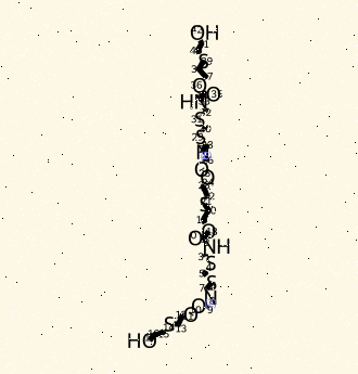 O=C(NCSCSC/N=C\OOCCSCCO)OCCSCCOO/C=N/CSCSCNC(=O)OCCSCCO